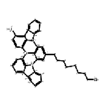 Cc1ccc2c3c1c1ccccc1n3-c1cc(CCCCCCCCO)cc3c1B2c1cccc2c4ccccc4n-3c12